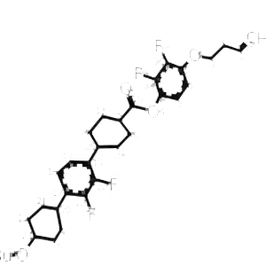 C=CCCOc1ccc(OC(=O)C2CCC(c3ccc(C4CCC(OCCCC)CC4)c(F)c3F)CC2)c(F)c1F